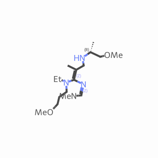 CCN(CCCOC)C(/N=C\NC)=C(\C)CN[C@H](C)COC